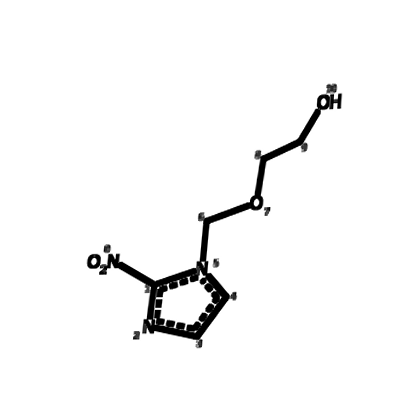 O=[N+]([O-])c1nccn1COCCO